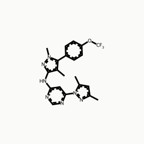 Cc1cc(C)n(-c2cc(Nc3nn(C)c(-c4ccc(OC(F)(F)F)cc4)c3C)ncn2)n1